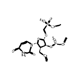 COC[C@@H]1[C@H](O[PH](=S)OC)[C@@H](OCP(=O)(O)OC)O[C@H]1n1ccc(=O)[nH]c1=O